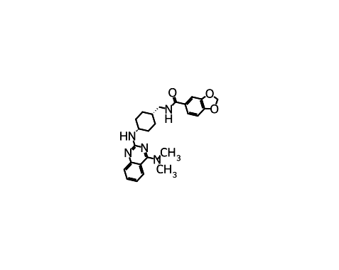 CN(C)c1nc(N[C@H]2CC[C@@H](CNC(=O)c3ccc4c(c3)OCO4)CC2)nc2ccccc12